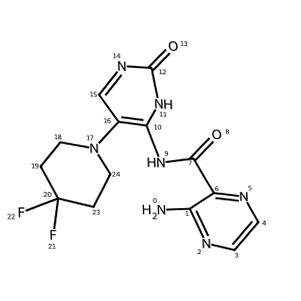 Nc1nccnc1C(=O)Nc1[nH]c(=O)ncc1N1CCC(F)(F)CC1